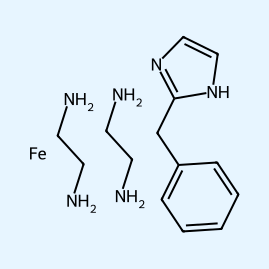 NCCN.NCCN.[Fe].c1ccc(Cc2ncc[nH]2)cc1